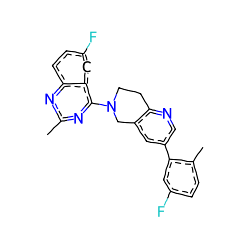 Cc1nc(N2CCc3ncc(-c4cc(F)ccc4C)cc3C2)c2cc(F)ccc2n1